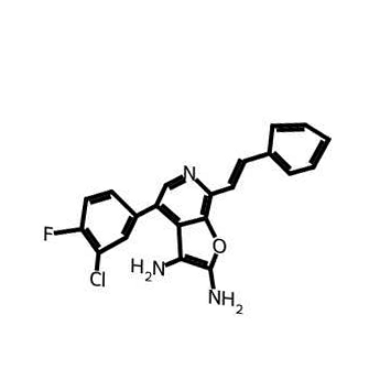 Nc1oc2c(/C=C/c3ccccc3)ncc(-c3ccc(F)c(Cl)c3)c2c1N